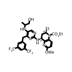 CCOC(=O)N1c2ccc(OC)nc2[C@@H](Nc2ncc(NC(C)CO)c(Cc3cc(C(F)(F)F)cc(C(F)(F)F)c3)n2)C[C@H]1CC